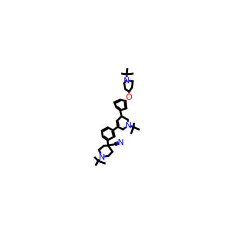 CC(C)(C)N1CCC(Oc2cccc(C3C=C(c4cccc(C5(C#N)CCN(C(C)(C)C)CC5)c4)CN(C(C)(C)C)C3)c2)CC1